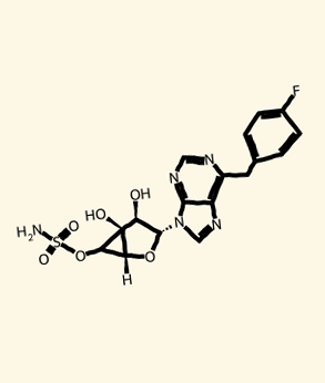 NS(=O)(=O)OC1[C@H]2O[C@@H](n3cnc4c(Cc5ccc(F)cc5)ncnc43)[C@H](O)[C@@]12O